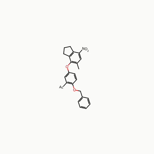 CC(=O)c1cc(Oc2c(C)cc([N+](=O)[O-])c3c2CCC3)ccc1OCc1ccccc1